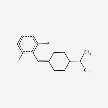 CC(C)C1CCC(=Cc2c(F)cccc2F)CC1